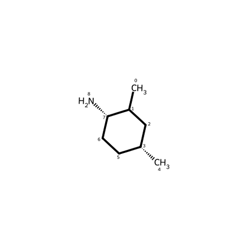 CC1C[C@H](C)CC[C@@H]1N